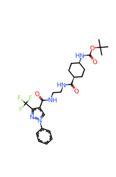 CC(C)(C)OC(=O)N[C@H]1CC[C@@H](C(=O)NCCNC(=O)c2cn(-c3ccccc3)nc2C(F)(F)F)CC1